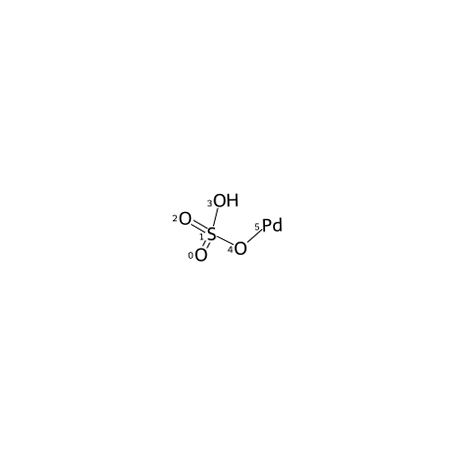 O=S(=O)(O)[O][Pd]